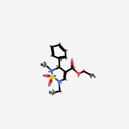 CCOC(=O)C1=CN(CC)S(=O)(=O)N(C)C1c1ccccc1